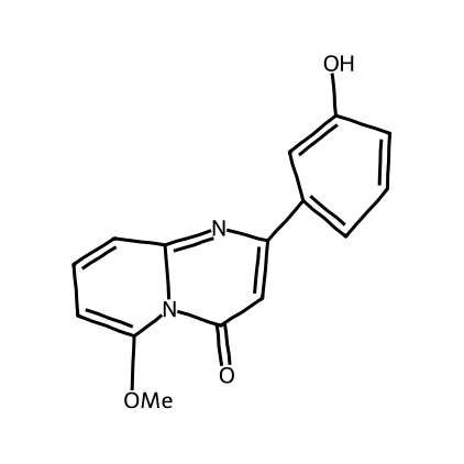 COc1cccc2nc(-c3cccc(O)c3)cc(=O)n12